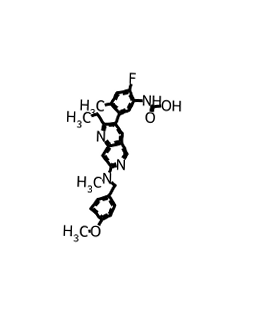 CCc1nc2cc(N(C)Cc3ccc(OC)cc3)ncc2cc1-c1cc(NC(=O)O)c(F)cc1C